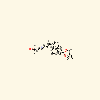 C[SiH2]OC(O[SiH2]C)C(C)(C)[C@H]1CCC[C@@]2(C)C([C@H](C)C/C=C/C=C/C(C)(C)O)=CCC[C@H]12